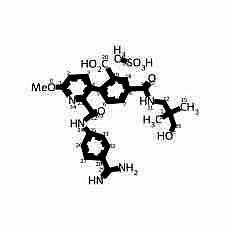 COc1ccc(-c2ccc(C(=O)NCC(C)(C)CO)cc2C(=O)O)c(C(=O)Nc2ccc(C(=N)N)cc2)n1.CS(=O)(=O)O